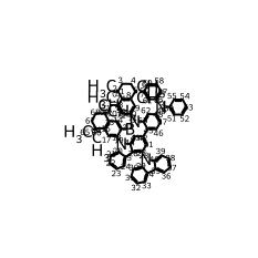 CC1(C)CCC(C)(C)c2cc(N3B4c5cc6c(cc5-n5c7ccccc7c7c(-n8c9ccccc9c9ccccc98)cc(c4c75)-c4ccc(N(c5ccccc5)c5ccccc5)cc43)C(C)(C)CCC6(C)C)ccc21